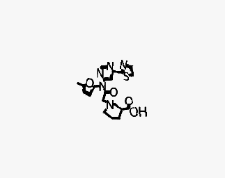 Cc1ccc(N(C(=O)CN2CCCC(C(=O)O)C2)c2cc(-c3nccs3)ncn2)o1